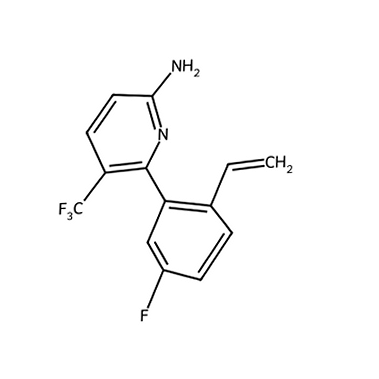 C=Cc1ccc(F)cc1-c1nc(N)ccc1C(F)(F)F